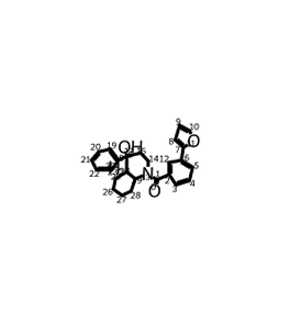 O=C(c1cccc(-c2ccco2)c1)N1CC[C@@](O)(c2ccccc2)[C@@H]2CCCCC21